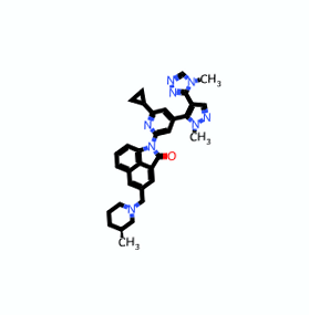 C[C@H]1CCCN(Cc2cc3c4c(cccc4c2)N(c2cc(-c4c(-c5nncn5C)cnn4C)cc(C4CC4)n2)C3=O)C1